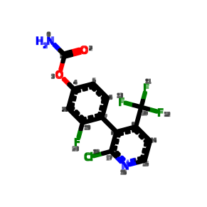 NC(=O)Oc1ccc(-c2c(C(F)(F)F)ccnc2Cl)c(F)c1